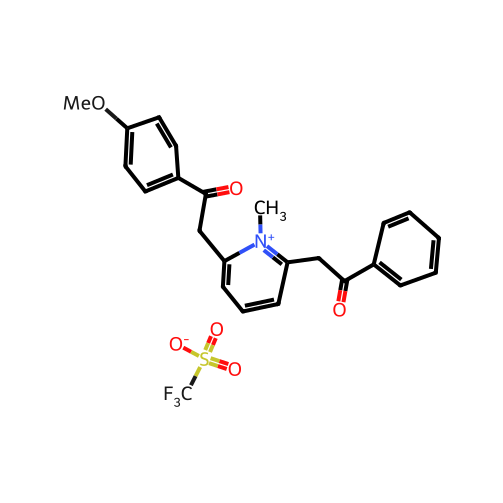 COc1ccc(C(=O)Cc2cccc(CC(=O)c3ccccc3)[n+]2C)cc1.O=S(=O)([O-])C(F)(F)F